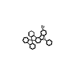 Brc1ccc2c(c1)c1c3c(ccc1n2-c1ccccc1)C1(C2=C3CCC=C2)c2ccccc2-c2ccccc21